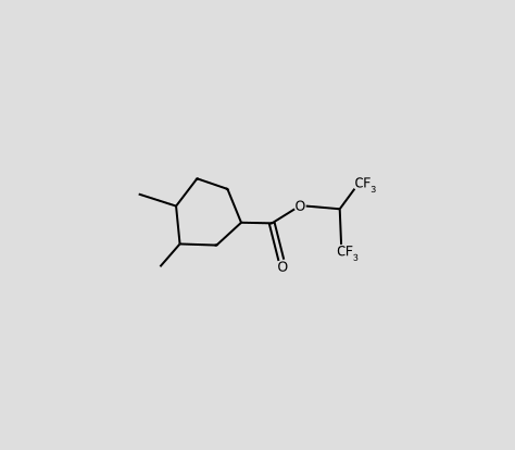 CC1CCC(C(=O)OC(C(F)(F)F)C(F)(F)F)CC1C